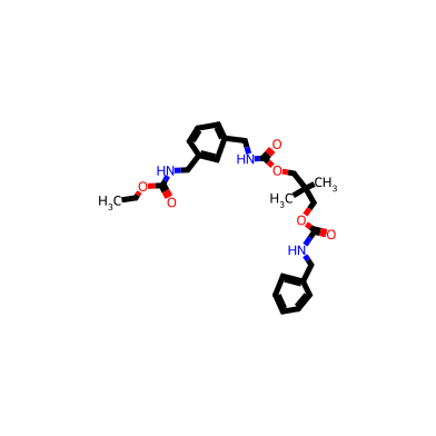 CCOC(=O)NCc1cccc(CNC(=O)OCC(C)(C)COC(=O)NCc2ccccc2)c1